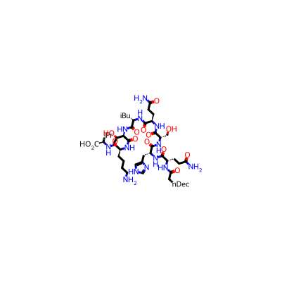 CCCCCCCCCCCC(=O)N[C@@H](CCC(N)=O)C(=O)N[C@H](Cc1c[nH]cn1)C(=O)N[C@@H](CO)C(=O)N[C@H](CCC(N)=O)C(=O)NC(C(=O)N[C@@H](C(=O)N[C@@H](CCCCN)C(=O)N[C@@H](C(=O)O)C(C)C)C(C)O)[C@@H](C)CC